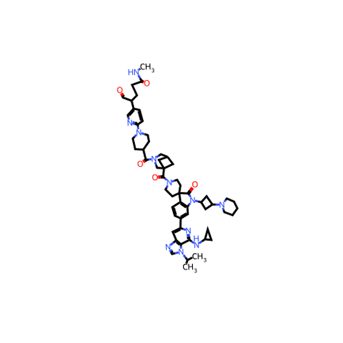 CNC(=O)CCC(C=O)c1ccc(N2CCC(C(=O)N3CC4CC(C(=O)N5CCC6(CC5)C(=O)N(C5CC(N7CCCCC7)C5)c5cc(-c7cc8ncn(C(C)C)c8c(NC8CC8)n7)ccc56)(C4)C3)CC2)nc1